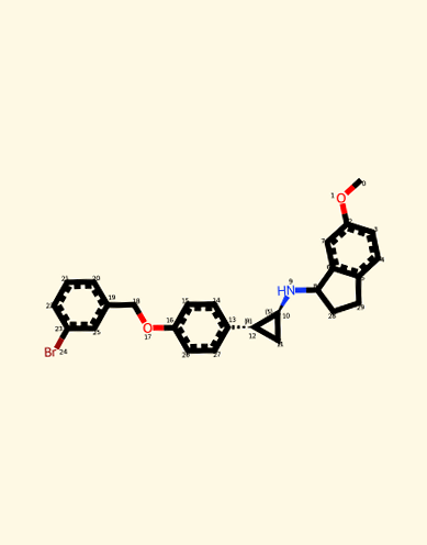 COc1ccc2c(c1)C(N[C@H]1C[C@@H]1c1ccc(OCc3cccc(Br)c3)cc1)CC2